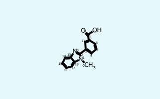 Cn1c(-c2cccc(C(=O)O)c2)nc2ccccc21